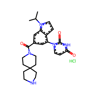 CC(C)n1ccc2c(-n3ccc(=O)[nH]c3=O)cc(C(=O)N3CCC4(CCNCC4)CC3)cc21.Cl